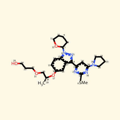 CSc1nc(-c2nn(C3CCCCO3)c3ccc(O[C@@H](C)COCCCO)cc23)cc(N2CCCC2)n1